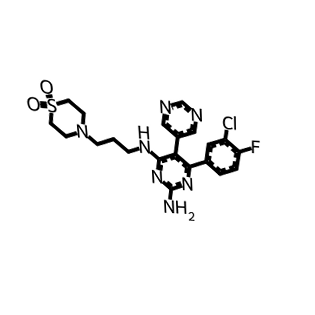 Nc1nc(NCCCN2CCS(=O)(=O)CC2)c(-c2cncnc2)c(-c2ccc(F)c(Cl)c2)n1